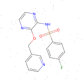 O=S(=O)(Nc1nccnc1OCc1cccnc1)c1ccc(F)cc1